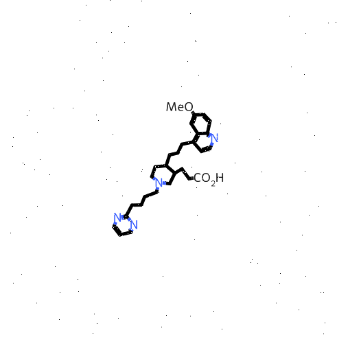 COc1ccc2nccc(CCCC3CCN(CCCCc4ncccn4)CC3CCC(=O)O)c2c1